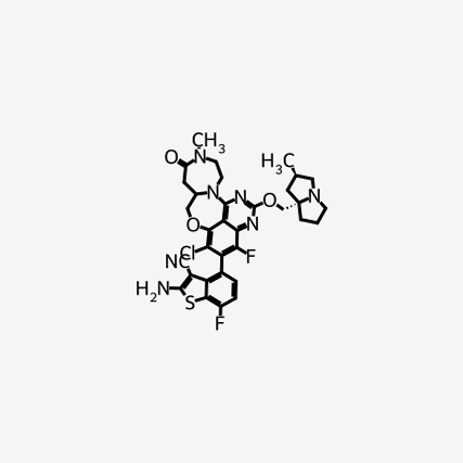 C[C@H]1CN2CCC[C@@]2(COc2nc3c4c(c(Cl)c(-c5ccc(F)c6sc(N)c(C#N)c56)c(F)c4n2)OCC2CC(=O)N(C)CCN32)C1